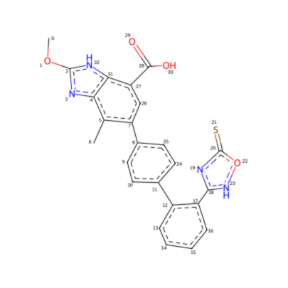 COc1nc2c(C)c(-c3ccc(-c4ccccc4-c4nc(=S)o[nH]4)cc3)cc(C(=O)O)c2[nH]1